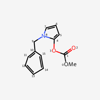 COC(=O)Oc1cccn1Cc1ccccc1